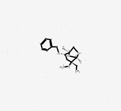 CC[C@@]1(OC)C[C@H](OCc2ccccc2)[C@H]2CO[C@@H]1O2